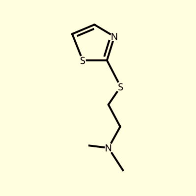 CN(C)CCSc1nccs1